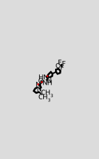 CC(C)c1cccc2nc(C(=O)Nc3nc4cc(-c5cccc(OC(F)(F)F)c5)ccc4[nH]3)cn12